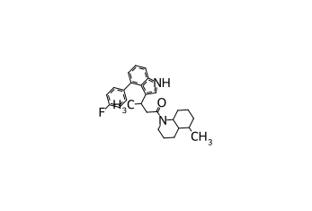 CC(CC(=O)N1CCCC2C(C)CCCC21)c1c[nH]c2cccc(-c3ccc(F)cc3)c12